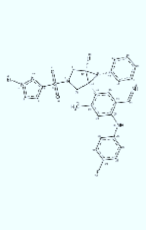 CCn1ccc(S(=O)(=O)N2C[C@H]3[C@H](c4ccccc4)[C@@]3(c3cc(C=N)c(Nc4ccc(F)cc4)cc3C)C2)n1